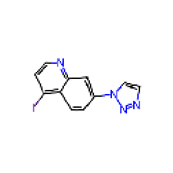 Ic1ccnc2cc(-n3ccnn3)ccc12